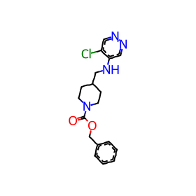 O=C(OCc1ccccc1)N1CCC(CNc2cnncc2Cl)CC1